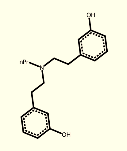 CCCN(CCc1cccc(O)c1)CCc1cccc(O)c1